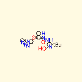 CN1CCC[C@@]1(C)c1nnc2ccc(O[C@@H]3CC[C@H](NC(=O)Nc4cc(CO)nc(C(C)(C)C)c4)c4ccccc43)cn12